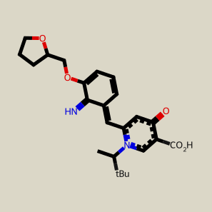 CC(n1cc(C(=O)O)c(=O)cc1/C=C1\C=CC=C(OCC2CCCO2)C1=N)C(C)(C)C